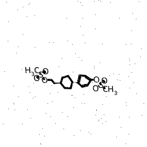 CS(=O)(=O)OCC[C@H]1CC[C@H](c2ccc(OS(C)(=O)=O)cc2)CC1